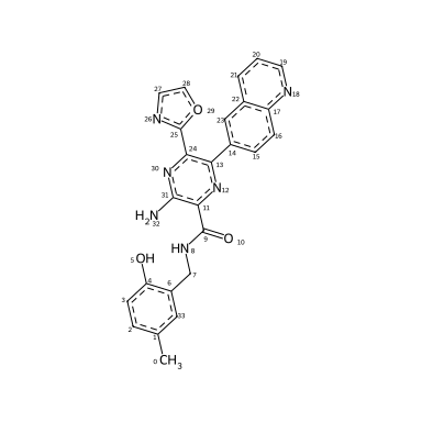 Cc1ccc(O)c(CNC(=O)c2nc(-c3ccc4ncccc4c3)c(-c3ncco3)nc2N)c1